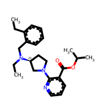 CCc1ccccc1CN(CC)[C@H]1CCN(c2ncccc2C(=O)OC(C)C)C1